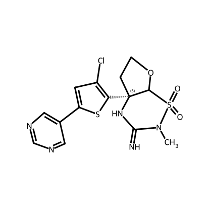 CN1C(=N)N[C@@]2(c3sc(-c4cncnc4)cc3Cl)CCOC2S1(=O)=O